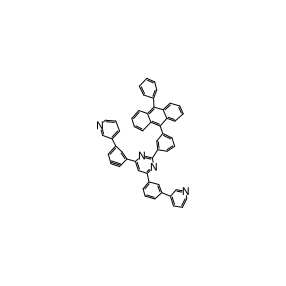 c1cc(-c2cccnc2)cc(-c2cc(-c3cccc(-c4cccnc4)c3)nc(-c3cccc(-c4c5ccccc5c(-c5ccccc5)c5ccccc45)c3)n2)c#1